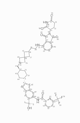 CC(C)(O)c1cc2nc([C@H]3CC[C@H](CN4CC5(CC(CCNc6cccc7c6C(=O)N(C6CCC(=O)NC6=O)C7=O)C5)C4)CC3)sc2cc1NC(=O)c1cccc(C(F)(F)F)n1